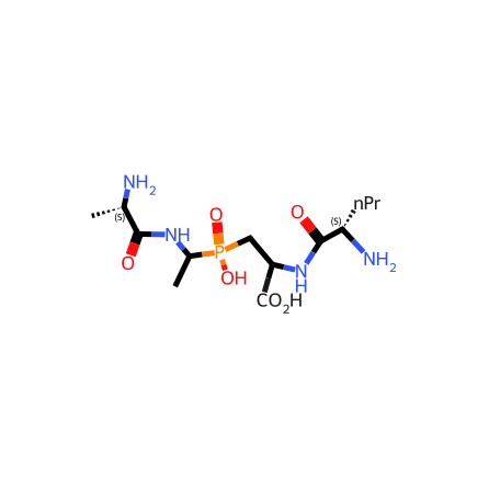 CCC[C@H](N)C(=O)NC(CP(=O)(O)C(C)NC(=O)[C@H](C)N)C(=O)O